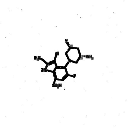 Cc1[nH]c2c(C(=O)O)cc(F)c(N3C[C@@H](N)C[C@H](F)C3)c2c1Cl